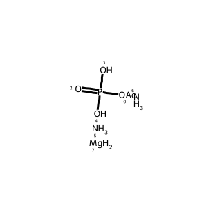 CC(=O)OP(=O)(O)O.N.N.[MgH2]